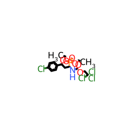 CCOP(=O)(OCC)C(CC(=O)c1ccc(Cl)cc1)NC(=O)OCC(Cl)(Cl)Cl